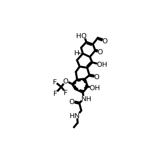 CCNCC(=O)Nc1cc(OC(F)(F)F)c2c(c1O)C(=O)C1=C(O)C3C(=O)C(C=O)=C(O)C[C@@H]3CC1C2